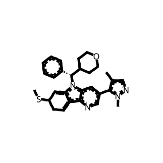 CSC1C=c2c(c3ncc(-c4c(C)cnn4C)cc3n2[C@H](c2ccccc2)C2CCOCC2)=CC1